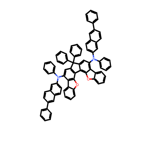 c1ccc(-c2ccc3cc(N(c4ccccc4)c4cc5c(c6oc7ccccc7c46)-c4c(cc(N(c6ccccc6)c6ccc7cc(-c8ccccc8)ccc7c6)c6c4oc4ccccc46)C5(c4ccccc4)c4ccccc4)ccc3c2)cc1